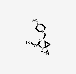 CC(=O)N1CCN(CC[C@@H]2C[C@@]2(CO)NC(=O)OC(C)(C)C)CC1